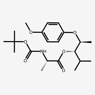 COc1ccc(O[C@@H](C)[C@@H](OC(=O)[C@H](C)NC(=O)OC(C)(C)C)C(C)C)cc1